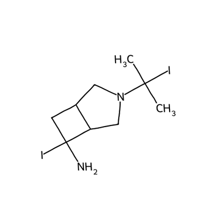 CC(C)(I)N1CC2CC(N)(I)C2C1